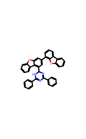 c1ccc(C2=NC(c3cc(-c4cccc5c4oc4ccccc45)cc4oc5ccccc5c34)NC(c3ccccc3)=N2)cc1